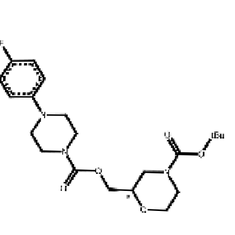 CC(C)(C)OC(=O)N1CCO[C@@H](COC(=O)N2CCN(c3ccc(F)cc3)CC2)C1